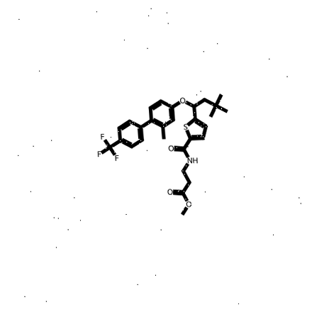 COC(=O)CCNC(=O)c1ccc(C(CC(C)(C)C)Oc2ccc(-c3ccc(C(F)(F)F)cc3)c(C)c2)s1